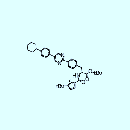 CC(C)(C)OC(=O)C(Cc1ccc(-c2ncc(-c3ccc(C4CCCCC4)cc3)cn2)cc1)NC(=O)c1ccc(C(C)(C)C)s1